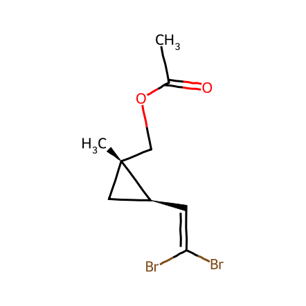 CC(=O)OC[C@@]1(C)C[C@@H]1C=C(Br)Br